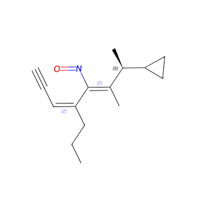 C#C/C=C(CCC)\C(N=O)=C(/C)[C@@H](C)C1CC1